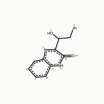 CC(C)CC(O)c1nc2ccccc2[nH]c1=O